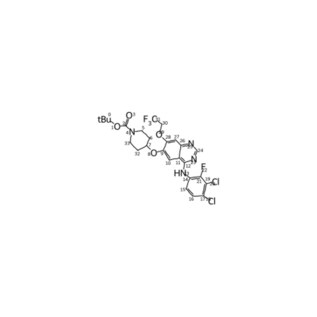 CC(C)(C)OC(=O)N1CCC(Oc2cc3c(Nc4ccc(Cl)c(Cl)c4F)ncnc3cc2OCC(F)(F)F)CC1